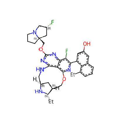 CCc1cccc2cc(O)cc(-c3nc4c5c(nc(OC[C@@]67CCCN6C[C@H](F)C7)nc5c3F)NC[C@H]3C[C@H](CO4)[C@H](CC)N3)c12